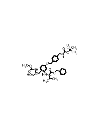 COC(=O)N[C@H](CO)Cc1ccc(OCc2ccc(CNC(=O)OC(C)(C)C)cc2)cc1N[C@@H](C(=O)OCc1ccccc1)C(C)C